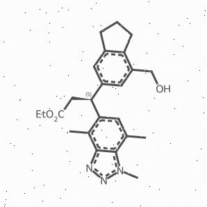 CCOC(=O)C[C@@H](c1cc(CO)c2c(c1)CCC2)c1cc(C)c2c(nnn2C)c1C